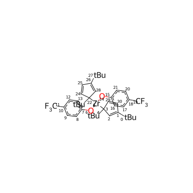 CC(C)(C)C1=C[C](C(C)(C)C)([Zr]([O]c2ccc(C(F)(F)F)cc2)([O]c2ccc(C(F)(F)F)cc2)[C]2(C(C)(C)C)C=CC(C(C)(C)C)=C2)C=C1